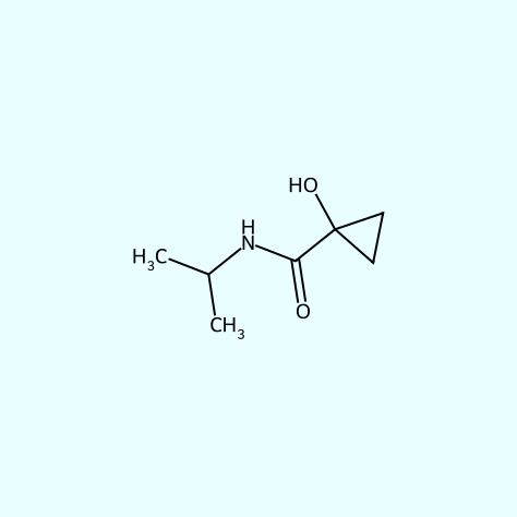 CC(C)NC(=O)C1(O)CC1